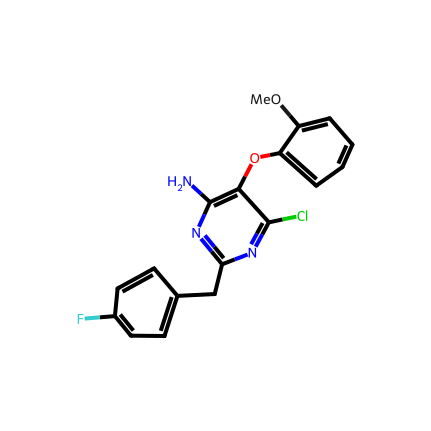 COc1ccccc1Oc1c(N)nc(Cc2ccc(F)cc2)nc1Cl